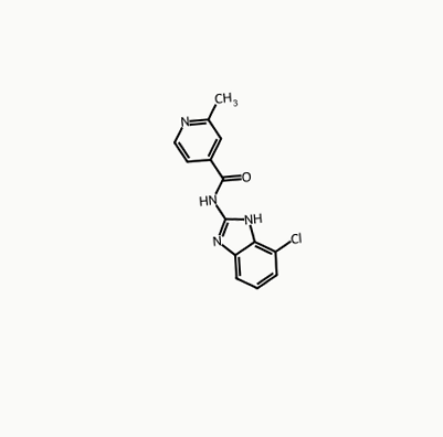 Cc1cc(C(=O)Nc2nc3cccc(Cl)c3[nH]2)ccn1